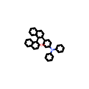 Oc1ccc2ccccc2c1-c1c(-c2ccc(N(c3ccccc3)c3ccccc3)cc2)ccc2ccccc12